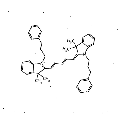 CC1(C)C(/C=C/C=C/C=C2/N(CCCc3ccccc3)c3ccccc3C2(C)C)=[N+](CCCc2ccccc2)c2ccccc21